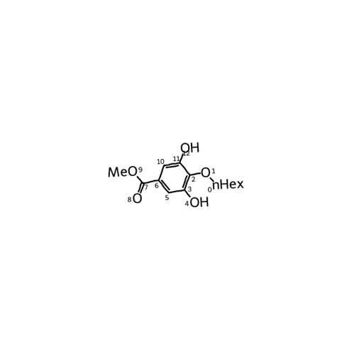 CCCCCCOc1c(O)cc(C(=O)OC)cc1O